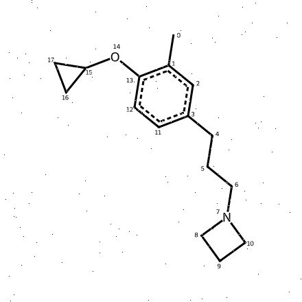 Cc1cc(CCCN2CCC2)ccc1OC1CC1